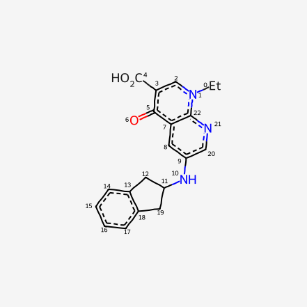 CCn1cc(C(=O)O)c(=O)c2cc(NC3Cc4ccccc4C3)cnc21